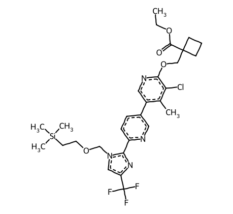 CCOC(=O)C1(COc2ncc(-c3ccc(-c4nc(C(F)(F)F)cn4COCC[Si](C)(C)C)nc3)c(C)c2Cl)CCC1